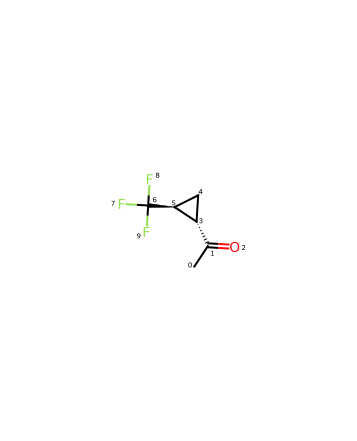 CC(=O)[C@H]1C[C@@H]1C(F)(F)F